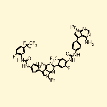 CC(C)n1cc(-c2ccc(NC(=O)Nc3cc(C(F)(F)F)c(-c4nc(N)c5c(-c6ccc(NC(=O)Nc7cc(C(F)(F)C(F)(F)F)ccc7F)cc6)cn(C(C)C)c5n4)cc3F)cc2)c2c(N)ncnc21